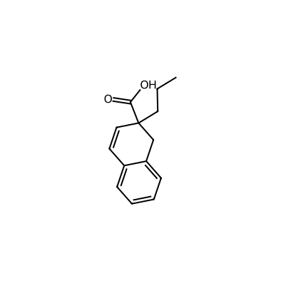 CCCC1(C(=O)O)C=Cc2ccccc2C1